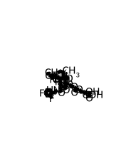 COC1=NO[C@@]2(CC[C@H](C)N3C[C@H]2n2cc(C(=O)NCc4ccc(F)cc4F)c(=O)c(OCOC(=O)OCCOP(=O)(O)O)c2C3=O)C1